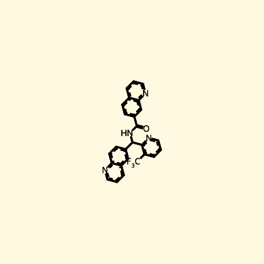 O=C(NC(c1ccc2ncccc2c1)c1ncccc1C(F)(F)F)c1ccc2cccnc2c1